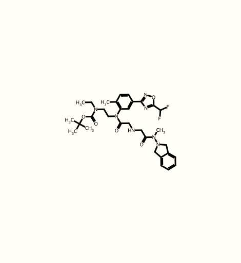 CCN(CCN(C(=O)CNCC(=O)N(C)N1Cc2ccccc2C1)c1cc(-c2noc(C(F)F)n2)ccc1C)C(=O)OC(C)(C)C